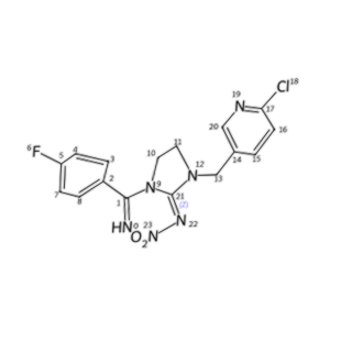 N=C(c1ccc(F)cc1)N1CCN(Cc2ccc(Cl)nc2)/C1=N/[N+](=O)[O-]